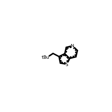 CC(C)(C)Cc1csc2ccncc12